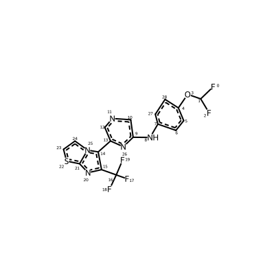 FC(F)Oc1ccc(Nc2cncc(-c3c(C(F)(F)F)nc4sccn34)n2)cc1